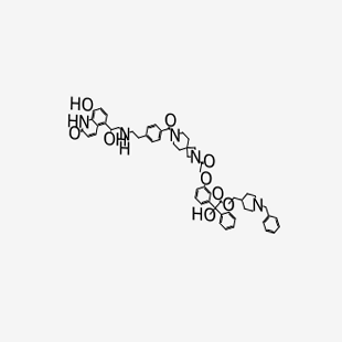 O=C(COc1cccc(C(O)(C(=O)OCC2CCN(Cc3ccccc3)CC2)c2ccccc2)c1)N1CC2(CCN(C(=O)c3ccc(CCNC[C@H](O)c4ccc(O)c5[nH]c(=O)ccc45)cc3)CC2)C1